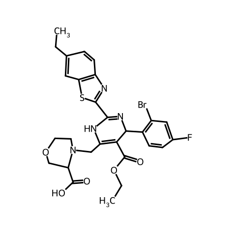 CCOC(=O)C1=C(CN2CCOCC2C(=O)O)NC(c2nc3ccc(CC)cc3s2)=NC1c1ccc(F)cc1Br